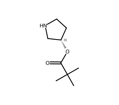 CC(C)(C)C(=O)O[C@H]1CCNC1